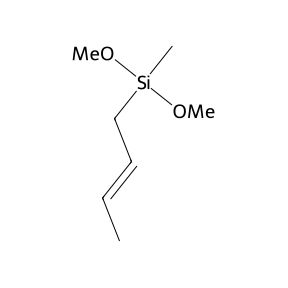 C/C=C/C[Si](C)(OC)OC